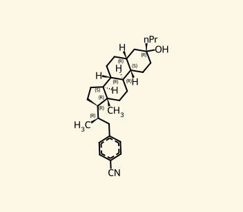 CCC[C@@]1(O)CC[C@H]2[C@H](CC[C@@H]3[C@@H]2CC[C@]2(C)[C@@H]([C@H](C)Cc4ccc(C#N)cc4)CC[C@@H]32)C1